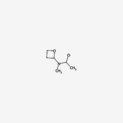 CC([O])N(C)C1CCO1